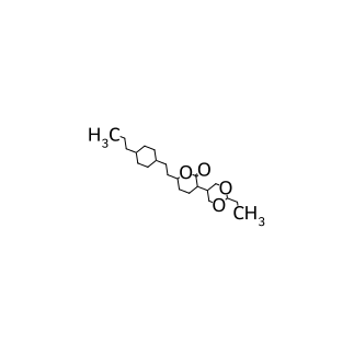 CCCC1CCC(CCC2CCC(C3COC(CC)OC3)C(=O)O2)CC1